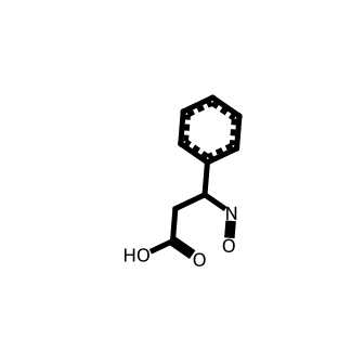 O=NC(CC(=O)O)c1ccccc1